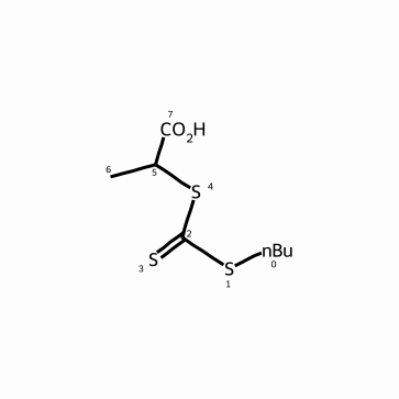 CCCCSC(=S)SC(C)C(=O)O